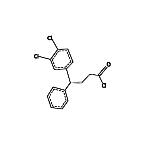 O=C(Cl)CC[C@H](c1ccccc1)c1ccc(Cl)c(Cl)c1